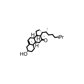 CC(C)CCC[C@@H](C)[C@H]1CC[C@H]2[C@@H]3CC=C4C[C@@H](O)CC[C@]4(C)[C@H]3CC(=O)[C@]12C